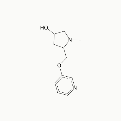 CN1CC(O)CC1COc1cccnc1